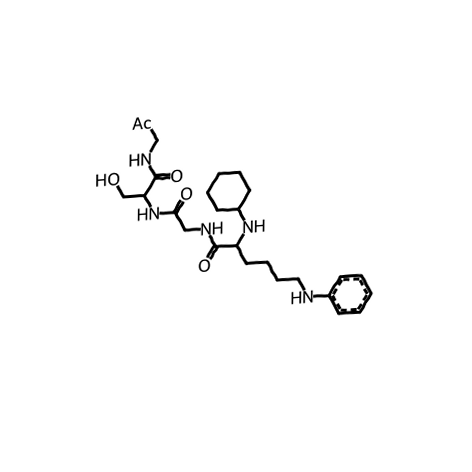 CC(=O)CNC(=O)C(CO)NC(=O)CNC(=O)C(CCCCNc1ccccc1)NC1CCCCC1